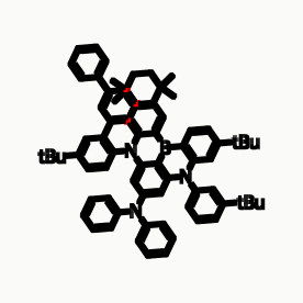 CC(C)(C)c1cccc(N2c3cc(C(C)(C)C)ccc3B3c4cc5c(cc4N(c4ccc(C(C)(C)C)cc4-c4cccc(-c6ccccc6)c4)c4cc(N(c6ccccc6)c6ccccc6)cc2c43)C(C)(C)CCC5(C)C)c1